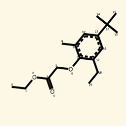 CCOC(=O)COc1c(C)cc(C(C)(C)C)cc1CC